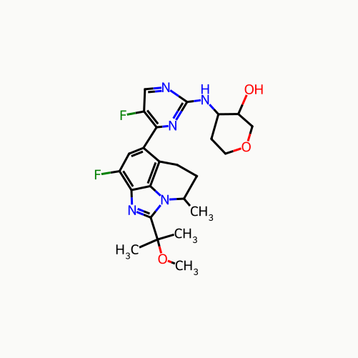 COC(C)(C)c1nc2c(F)cc(-c3nc(NC4CCOCC4O)ncc3F)c3c2n1C(C)CC3